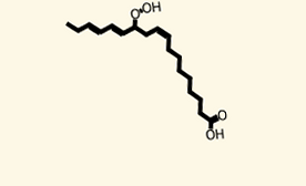 CC/C=C/C=C/C(C/C=C\CCCCCCCC(=O)O)OO